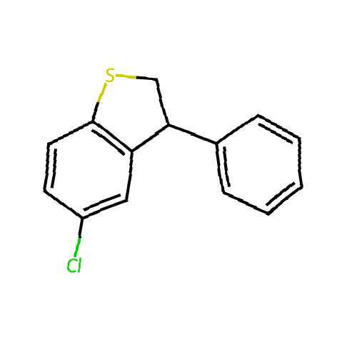 Clc1ccc2c(c1)C(c1ccccc1)CS2